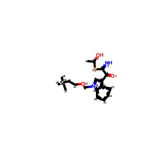 CC(O)SC(=N)C(=O)c1cn(COCC[Si](C)(C)C)c2ccccc12